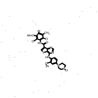 CCN1CCN(c2ccc(Nc3ncnc4c(C(=O)Nc5c(Cl)c(C)c(Br)c(OC)c5Cl)csc34)c(OC(C)C)c2)CC1